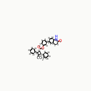 O=C1CCc2cc(-c3cccc(OC(=O)[C@H]4C(c5ccccc5)[C@H](C(=O)O)[C@H]4c4ccccc4)c3)ccc2N1